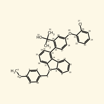 COc1ccc(Cn2c3ccccc3c3c(-c4ccc(Oc5ccccc5Cl)cc4C(C)(C)O)cccc32)cc1